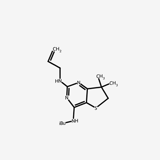 C=CCNc1nc(NC(C)CC)c2c(n1)C(C)(C)CS2